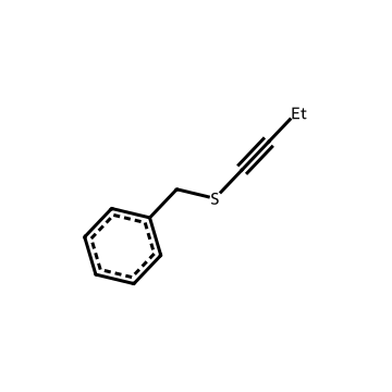 CCC#CSCc1ccccc1